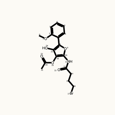 COc1ccccc1-c1oc(NC(=O)CCCBr)c(OC(C)=O)c1O